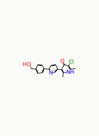 Cc1[nH]c(C)c(-c2ccc(-c3ccc(CO)cc3)nc2)c(=O)c1Cl